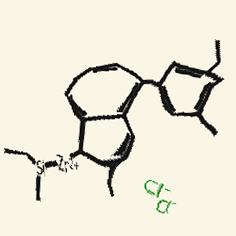 CC1=Cc2c(-c3cc(C)cc(C)c3)cccc2[CH]1[Zr+2][Si](C)C.[Cl-].[Cl-]